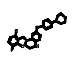 Fc1ccc(Cl)c(CN2CCNc3nnc(Oc4ccc(N5CCOCC5)cc4)cc32)c1Cl